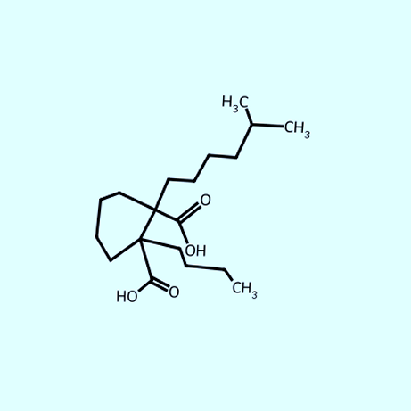 CCCCC1(C(=O)O)CCCCC1(CCCCC(C)C)C(=O)O